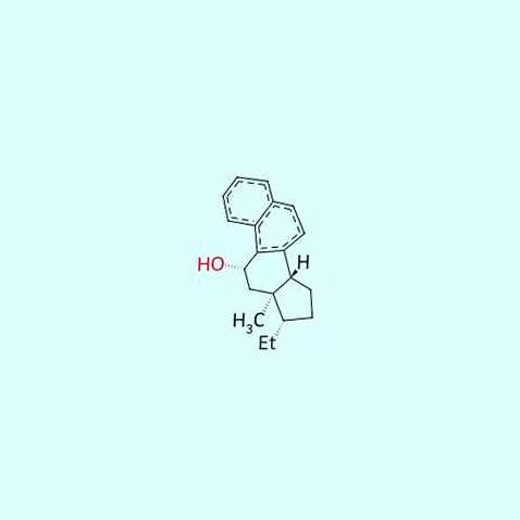 CC[C@H]1CC[C@H]2c3ccc4ccccc4c3[C@@H](O)C[C@]12C